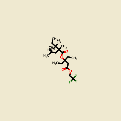 CCC(CC)(CC(=O)OCC(F)(F)F)OC(=O)C(C)(CC(C)C)C(C)(C)CC